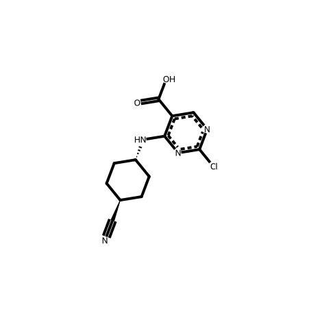 N#C[C@H]1CC[C@H](Nc2nc(Cl)ncc2C(=O)O)CC1